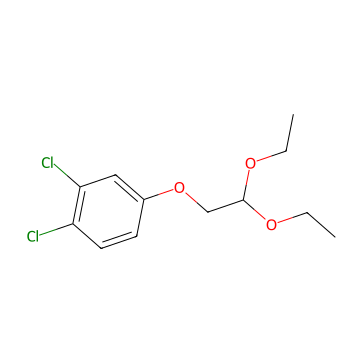 CCOC(COc1ccc(Cl)c(Cl)c1)OCC